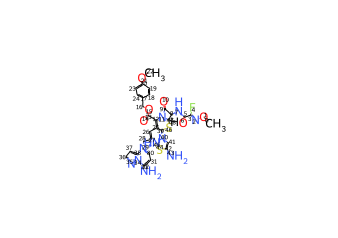 CON=C(F)C(=O)N[C@@H]1C(=O)N2C(C(=O)OCc3ccc(OC)cc3)=C(C=CC[n+]3ccc(N)n4nccc43)C(N3C=C(N)SN3)S[C@@H]12